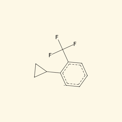 FC(F)(F)c1ccc[c]c1C1CC1